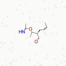 C/C=C\C[C@@H](C=O)C(C)OC(C)=N